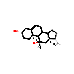 [2H][C@]1(O)C[C@@]2(C)C(CC[C@@H]2C(C)=O)C2CC=C3C[C@@H](O)CC[C@]3(C)C21